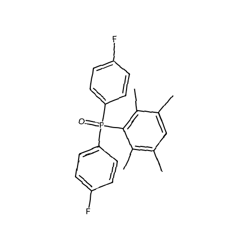 Cc1cc(C)c(C)c(P(=O)(c2ccc(F)cc2)c2ccc(F)cc2)c1C